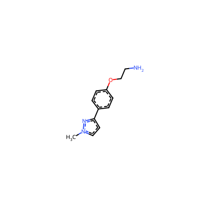 Cn1ccc(-c2ccc(OCCN)cc2)n1